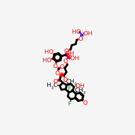 C[C@@H]1CC2C3C[C@H](F)C4=CC(=O)C=C[C@]4(C)[C@@]3(F)[C@@H](O)C[C@]2(C)[C@@]1(OC(=O)CCCON(O)O)C(=O)COC(=O)Oc1cc(C(=O)OCCCCON(O)O)cc(O)c1O